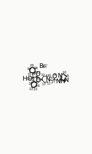 C[N+]1(CC(=O)Nc2cnccn2)CCC(OC(=O)C(O)(c2ccccc2)c2ccccc2)CC1.[Br-]